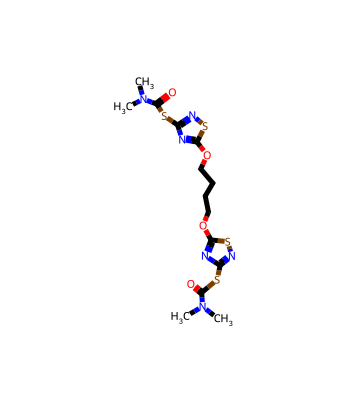 CN(C)C(=O)Sc1nsc(OCCCCOc2nc(SC(=O)N(C)C)ns2)n1